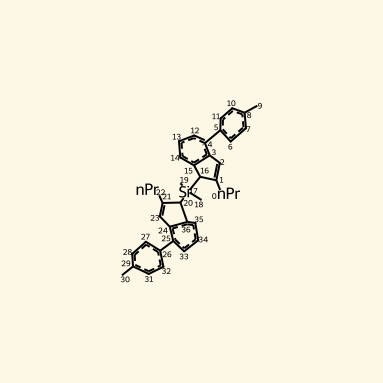 CCCC1=Cc2c(-c3ccc(C)cc3)cccc2C1[Si](C)(C)C1C(CCC)=Cc2c(-c3ccc(C)cc3)cccc21